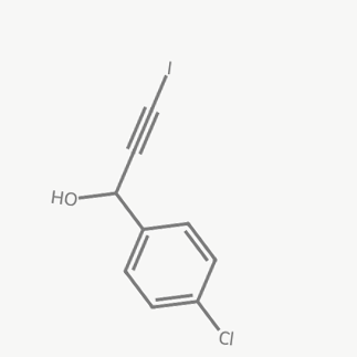 OC(C#CI)c1ccc(Cl)cc1